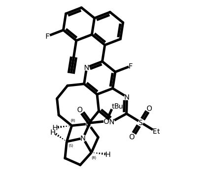 C#Cc1c(F)ccc2cccc(-c3nc4c5c(nc(S(=O)(=O)CC)nc5c3F)N3C[C@H]5CC[C@@H]([C@H]3CCC4)N5C(=O)OC(C)(C)C)c12